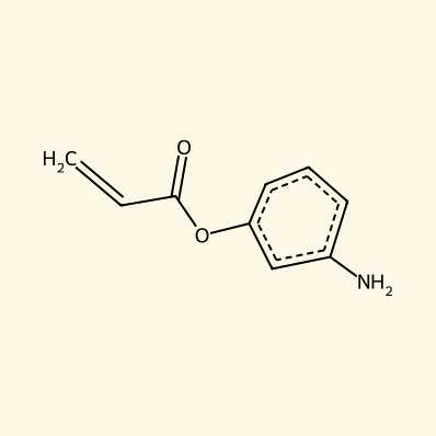 C=CC(=O)Oc1cccc(N)c1